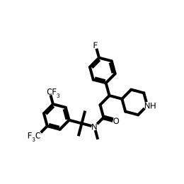 CN(C(=O)CC(c1ccc(F)cc1)C1CCNCC1)C(C)(C)c1cc(C(F)(F)F)cc(C(F)(F)F)c1